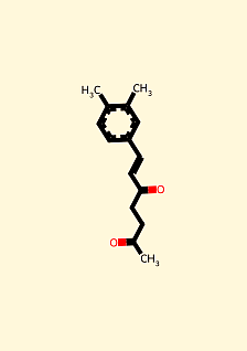 CC(=O)CCC(=O)/C=C/c1ccc(C)c(C)c1